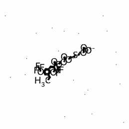 CCc1cc(OC(F)(F)F)cc2c1O[C@H](C(F)(F)F)C(C(=O)OCOC(=O)OCCSCCO[N+](=O)[O-])=C2